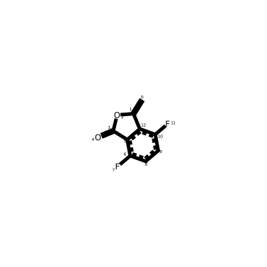 C=C1OC(=O)c2c(F)ccc(F)c21